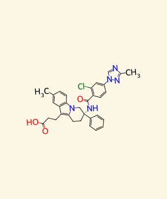 Cc1ccc2c(c1)c(CCC(=O)O)c1n2C[C@@](NC(=O)c2ccc(-n3cnc(C)n3)cc2Cl)(c2ccccc2)CC1